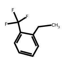 CCc1c[c]ccc1C(F)(F)F